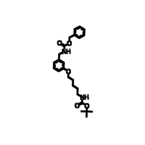 CC(C)(C)OC(=O)NCCCCCOc1cccc(CNC(=O)OCc2ccccc2)c1